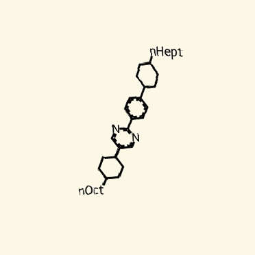 CCCCCCCCC1CCC(c2cnc(-c3ccc(C4CCC(CCCCCCC)CC4)cc3)nc2)CC1